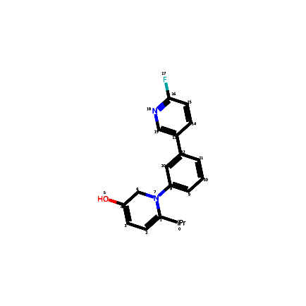 CC(C)C1=CC=C(O)CN1c1cccc(-c2ccc(F)nc2)c1